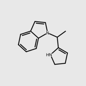 CC(C1=CCCN1)n1ccc2ccccc21